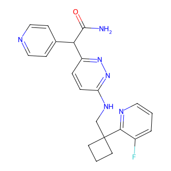 NC(=O)C(c1ccncc1)c1ccc(NCC2(c3ncccc3F)CCC2)nn1